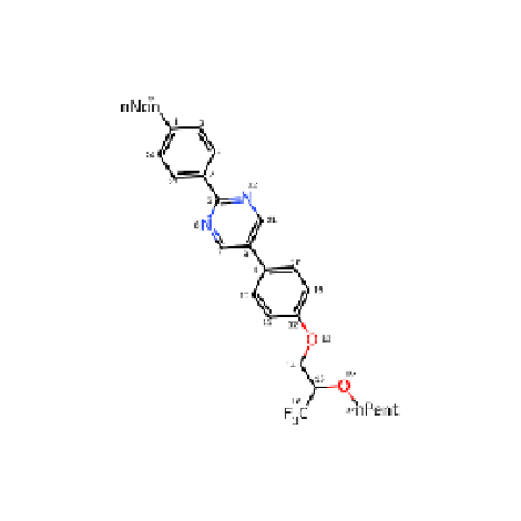 CCCCCCCCCc1ccc(-c2ncc(-c3ccc(OCC(OCCCCC)C(F)(F)F)cc3)cn2)cc1